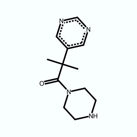 CC(C)(C(=O)N1CCNCC1)c1cncnc1